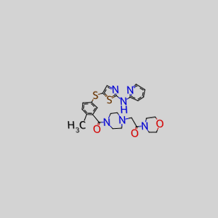 Cc1ccc(Sc2cnc(Nc3ccccn3)s2)cc1C(=O)N1CCN(CC(=O)N2CCOCC2)CC1